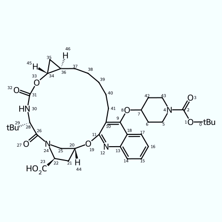 CC(C)(C)OC(=O)N1CCC(Oc2c3c(nc4ccccc24)O[C@@H]2C[C@@H](C(=O)O)N(C2)C(=O)[C@H](C(C)(C)C)NC(=O)O[C@@H]2C[C@H]2CCCCC3)CC1